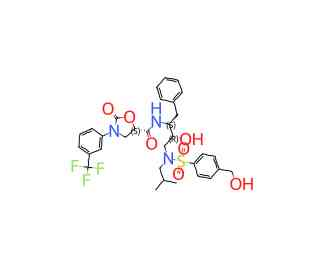 CC(C)CN(C[C@@H](O)[C@H](Cc1ccccc1)NC(=O)[C@@H]1CN(c2cccc(C(F)(F)F)c2)C(=O)O1)S(=O)(=O)c1ccc(CO)cc1